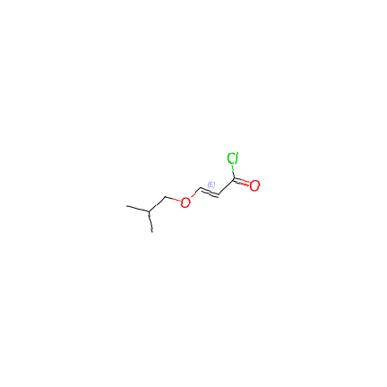 CC(C)CO/C=C/C(=O)Cl